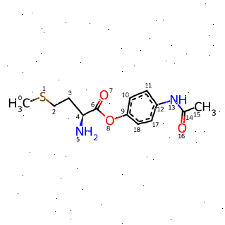 CSCC[C@H](N)C(=O)Oc1ccc(NC(C)=O)cc1